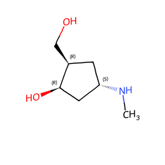 CN[C@H]1C[C@H](CO)[C@H](O)C1